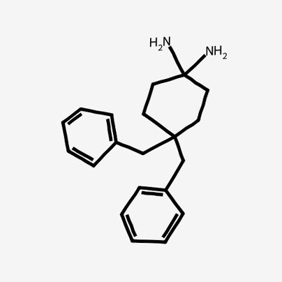 NC1(N)CCC(Cc2ccccc2)(Cc2ccccc2)CC1